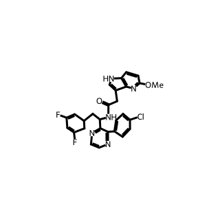 COc1ccc2[nH]cc(CC(=O)NC(CC3C=C(F)C=C(F)C3)c3nccnc3-c3ccc(Cl)cc3)c2n1